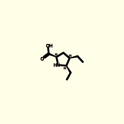 CC[C@@H]1C[C@H](C(=O)O)N[C@@H]1CC